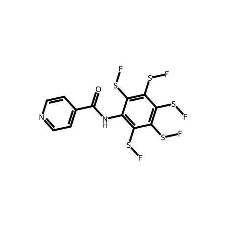 O=C(Nc1c(SF)c(SF)c(SF)c(SF)c1SF)c1ccncc1